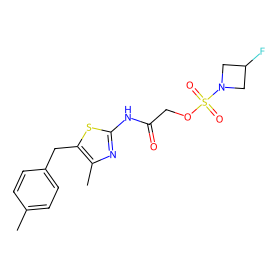 Cc1ccc(Cc2sc(NC(=O)COS(=O)(=O)N3CC(F)C3)nc2C)cc1